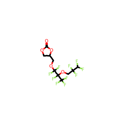 O=C1OCC(COC(F)(F)C(F)(OCC(F)(F)C(F)F)C(F)(F)F)O1